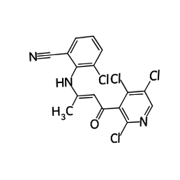 C/C(=C\C(=O)c1c(Cl)ncc(Cl)c1Cl)Nc1c(Cl)cccc1C#N